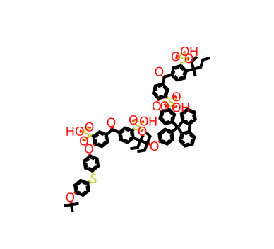 CCCC(C)(CC)c1ccc(C(=O)c2ccc(Oc3ccc(C4(c5ccc(OC(CC)(CC)C(C)(CC)c6ccc(C(=O)c7ccc(Oc8ccc(Sc9ccc(OC(C)(C)C)cc9)cc8)c(S(=O)(=O)O)c7)cc6S(=O)(=O)O)cc5)c5ccccc5-c5ccccc54)cc3)c(S(=O)(=O)O)c2)cc1S(=O)(=O)O